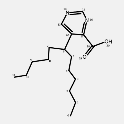 CCCCCCC(CCCCC)c1cncnc1C(=O)O